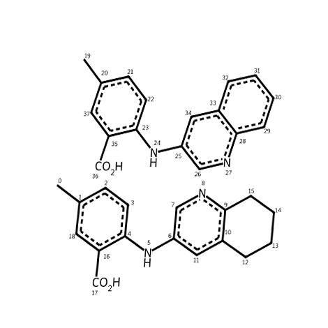 Cc1ccc(Nc2cnc3c(c2)CCCC3)c(C(=O)O)c1.Cc1ccc(Nc2cnc3ccccc3c2)c(C(=O)O)c1